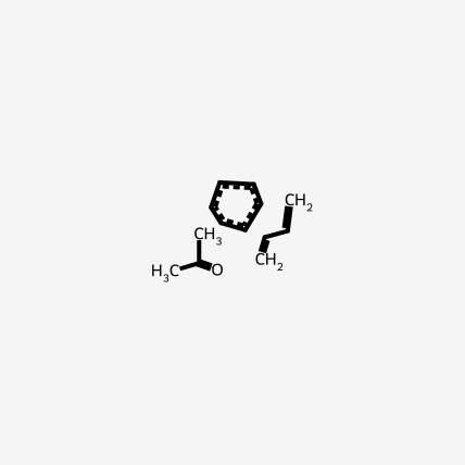 C=CC=C.CC(C)=O.c1ccccc1